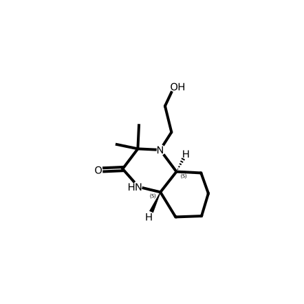 CC1(C)C(=O)N[C@H]2CCCC[C@@H]2N1CCO